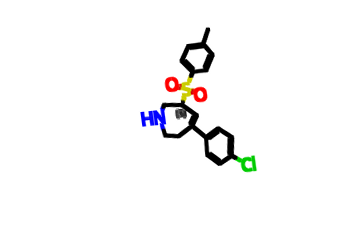 Cc1ccc(S(=O)(=O)[C@H]2C=C(c3ccc(Cl)cc3)CCNC2)cc1